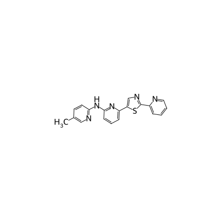 Cc1ccc(Nc2cccc(-c3cnc(-c4ccccn4)s3)n2)nc1